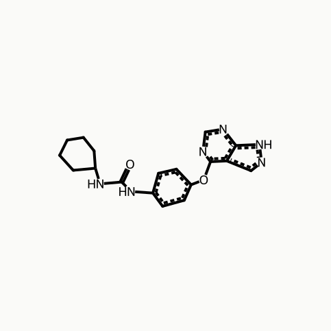 O=C(Nc1ccc(Oc2ncnc3[nH]ncc23)cc1)NC1CCCCC1